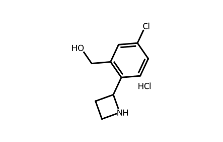 Cl.OCc1cc(Cl)ccc1C1CCN1